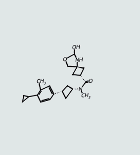 Cc1cc([C@H]2C[C@@H](N(C)C(=O)[C@H]3C[C@]4(COC(O)N4)C3)C2)ccc1C1CC1